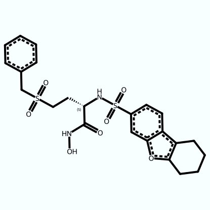 O=C(NO)[C@H](CCS(=O)(=O)Cc1ccccc1)NS(=O)(=O)c1ccc2c3c(oc2c1)CCCC3